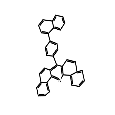 c1ccc2c(-c3ccc(-c4c5ccc6ccccc6c5nc5c4ccc4ccccc45)cc3)cccc2c1